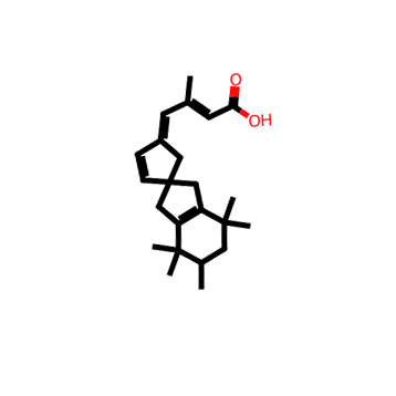 CC(=CC(=O)O)C=C1C=CC2(C1)CC1=C(C2)C(C)(C)C(C)CC1(C)C